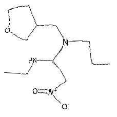 CCCN(CC1CCOC1)[C](C[N+](=O)[O-])NCC